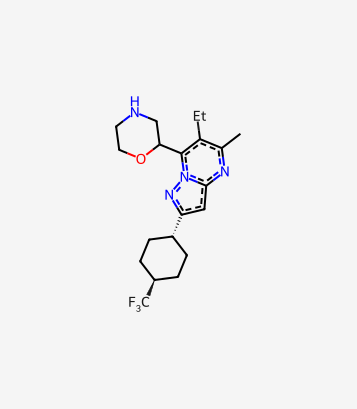 CCc1c(C)nc2cc([C@H]3CC[C@H](C(F)(F)F)CC3)nn2c1C1CNCCO1